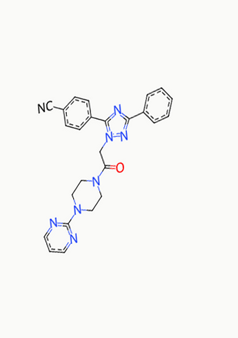 N#Cc1ccc(-c2nc(-c3ccccc3)nn2CC(=O)N2CCN(c3ncccn3)CC2)cc1